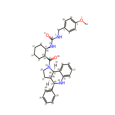 COc1ccc(CNC(=O)N[C@@H]2CCCC[C@@H]2C(=O)N2CC[C@@H]3[C@H](c4ccccc4)Nc4ccccc4[C@@H]32)cc1